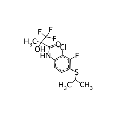 CC(C)Sc1ccc(NC(=O)C(C)(O)C(F)(F)F)c(Cl)c1F